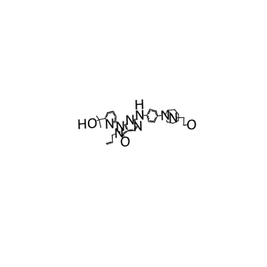 C=CCn1c(=O)c2cnc(Nc3ccc(N4CC5CCCC4CN5CCOC)cc3)nc2n1-c1cccc(C(C)(C)O)n1